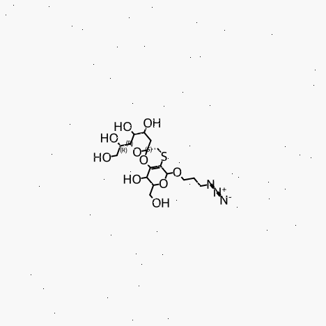 [N-]=[N+]=NCCCOC1OC(CO)C(O)C2=C1SC[C@]1(CC(O)C(O)[C@@H]([C@H](O)CO)O1)O2